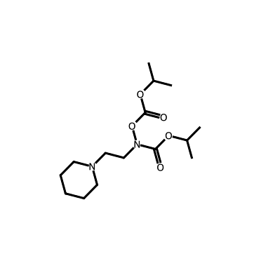 CC(C)OC(=O)ON(CCN1CCCCC1)C(=O)OC(C)C